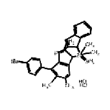 CC1=Cc2c(cc(C)c(C)c2-c2ccc(C(C)(C)C)cc2)[CH]1[Zr]([CH3])([CH3])(=[SiH2])[CH]1C(C(C)C)=Cc2ccccc21.Cl.Cl